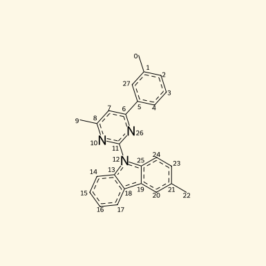 Cc1cccc(-c2cc(C)nc(-n3c4ccccc4c4cc(C)ccc43)n2)c1